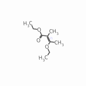 CCOC(=O)/C(C)=C(/C)OCC